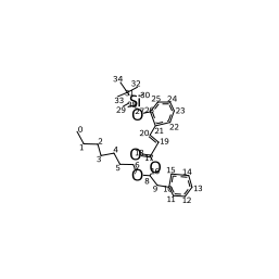 CCCCCCCOC(Cc1ccccc1)OC(=O)C=Cc1ccccc1O[Si](C)(C)C(C)(C)C